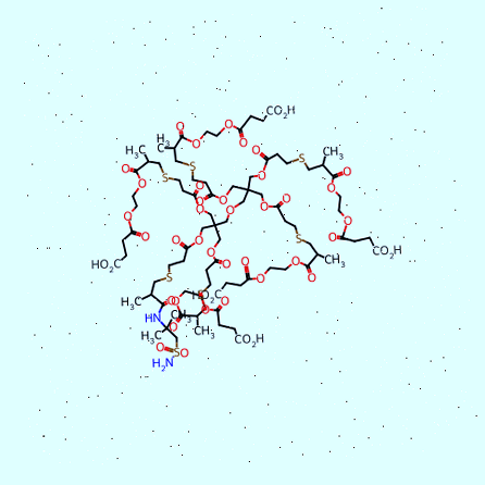 CC(CSCCC(=O)OCC(COCC(COC(=O)CCSCC(C)C(=O)OCCOC(=O)CCC(=O)O)(COC(=O)CCSCC(C)C(=O)OCCOC(=O)CCC(=O)O)COC(=O)CCSCC(C)C(=O)OCCOC(=O)CCC(=O)O)(COC(=O)CCSCC(C)C(=O)OCCOC(=O)CCC(=O)O)COC(=O)CCSCC(C)C(=O)OCCOC(=O)CCC(=O)O)C(=O)NC(C)(C)CS(N)(=O)=O